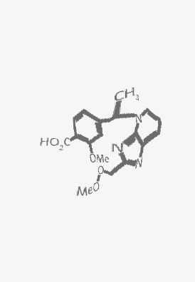 COOCc1nc2cccn(C(C)c3ccc(C(=O)O)c(OC)c3)c-2n1